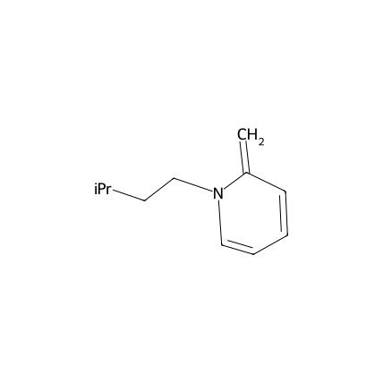 C=C1C=CC=CN1CCC(C)C